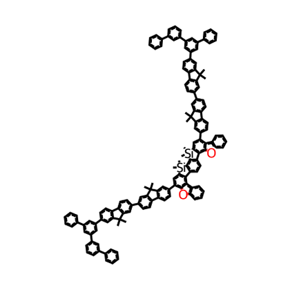 CC1(C)c2cc(-c3cc(-c4ccccc4)cc(-c4cccc(-c5ccccc5)c4)c3)ccc2-c2ccc(-c3ccc4c(c3)C(C)(C)c3cc(-c5cc6c(c7c5oc5ccccc57)-c5ccc7c(c5[Si]6(C)C)[Si](C)(C)c5cc(-c6ccc8c(c6)C(C)(C)c6cc(-c9ccc%10c(c9)C(C)(C)c9cc(-c%11cc(-c%12ccccc%12)cc(-c%12cccc(-c%13ccccc%13)c%12)c%11)ccc9-%10)ccc6-8)c6c(oc8ccccc86)c5-7)ccc3-4)cc21